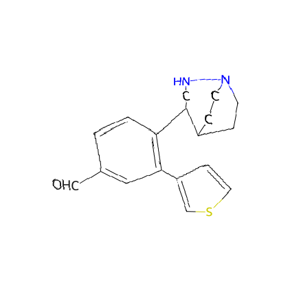 O=Cc1ccc(C2CNN3CCC2CC3)c(-c2ccsc2)c1